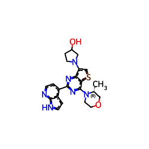 C[C@@H]1COCCN1c1nc(-c2ccnc3[nH]ccc23)nc2c(N3CCC(O)C3)csc12